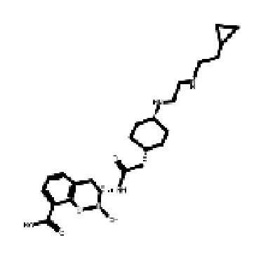 O=C(C[C@H]1CC[C@H](NCCNCCC2CC2)CC1)N[C@H]1Cc2cccc(C(=O)O)c2OB1O